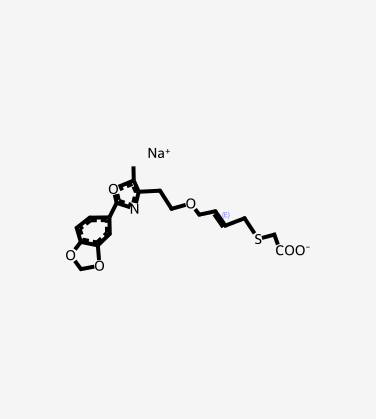 Cc1oc(-c2ccc3c(c2)OCO3)nc1CCOC/C=C/CSCC(=O)[O-].[Na+]